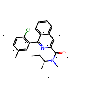 CC[C@@H](C)N(C)C(=O)c1cc2ccccc2c(-c2cc(C)ccc2Cl)n1